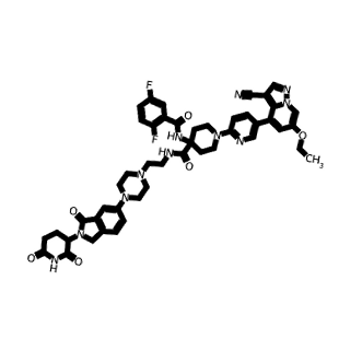 CCOc1cc(-c2ccc(N3CCC(NC(=O)c4cc(F)ccc4F)(C(=O)NCCN4CCN(c5ccc6c(c5)C(=O)N(C5CCC(=O)NC5=O)C6)CC4)CC3)nc2)c2c(C#N)cnn2c1